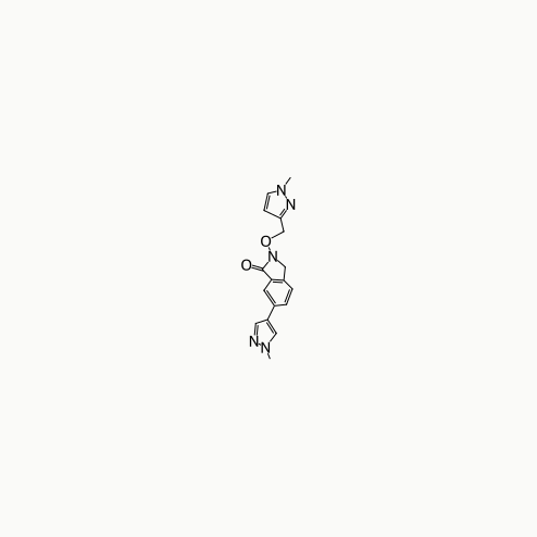 Cn1cc(-c2ccc3c(c2)C(=O)N(OCc2ccn(C)n2)C3)cn1